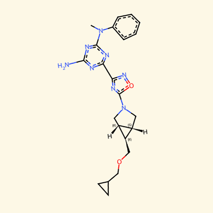 CN(c1ccccc1)c1nc(N)nc(-c2noc(N3C[C@@H]4[C@@H](COCC5CC5)[C@@H]4C3)n2)n1